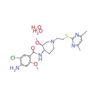 COc1cc(N)c(Cl)cc1C(=O)N[C@@H]1CCN(CCSc2nc(C)cc(C)n2)C[C@@H]1OC.O.O